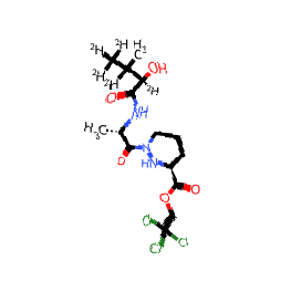 [2H]C([2H])([2H])C([2H])(C)[C@]([2H])(O)C(=O)N[C@@H](C)C(=O)N1CCC[C@@H](C(=O)OCC(Cl)(Cl)Cl)N1